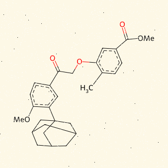 COC(=O)c1ccc(C)c(OCC(=O)c2ccc(OC)c(C34CC5CC(CC(C5)C3)C4)c2)c1